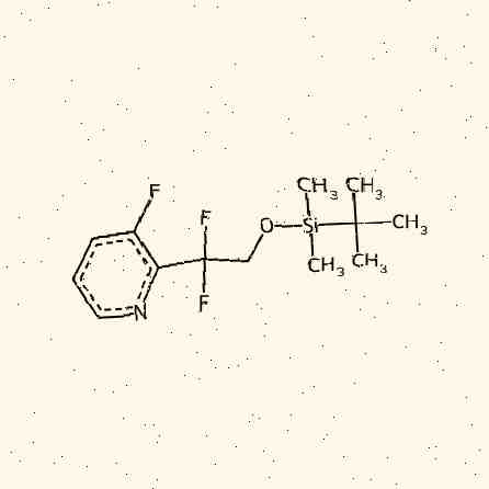 CC(C)(C)[Si](C)(C)OCC(F)(F)c1ncccc1F